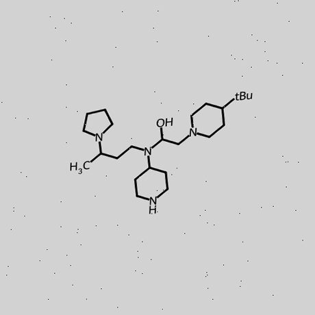 CC(CCN(C(O)CN1CCC(C(C)(C)C)CC1)C1CCNCC1)N1CCCC1